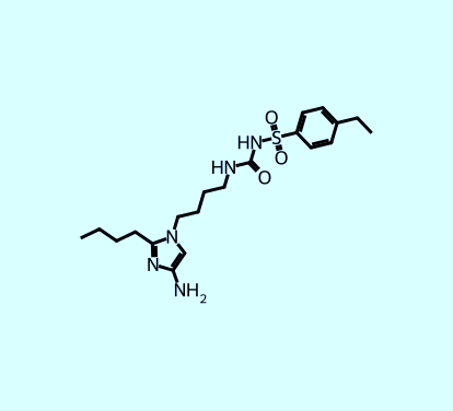 CCCCc1nc(N)cn1CCCCNC(=O)NS(=O)(=O)c1ccc(CC)cc1